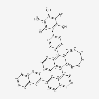 Oc1c(O)c(O)c(-c2ccc(C3=c4ccccc4=C(c4cccc5ccc(-c6ccc7ccccc7c6)cc45)/C4=C/CCCC#CC34)cc2)c(O)c1O